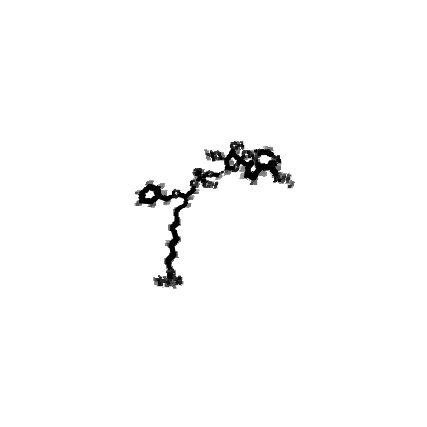 CCCCCCCOCCCCCCCC[C@H](COP(=O)(O)OC[C@H]1O[C@@](C#N)(c2ccc3c(N)ncnn23)C(O)[C@H]1O)OCc1ccccc1